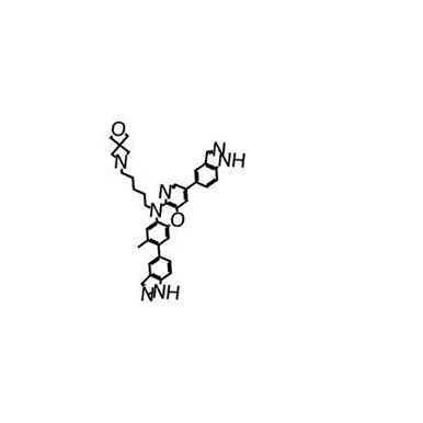 Cc1cc2c(cc1-c1ccc3[nH]ncc3c1)Oc1cc(-c3ccc4[nH]ncc4c3)cnc1N2CCCCCN1CC2(COC2)C1